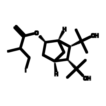 C=C(O[C@H]1C[C@H]2C[C@@H]1[C@H](C(C)(C)O)[C@@H]2C(C)(C)O)C(C)CI